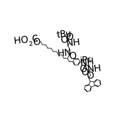 CC(C)C[C@H](NC(=O)OCC1c2ccccc2-c2ccccc21)C(=O)Nc1ccc(CC(CCCCCCCCCCOC(=O)O)C(=O)NCCNC(=O)OC(C)(C)C)cc1